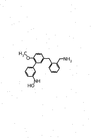 COc1ccc(Cc2ccccc2CN)cc1-c1cccc(NO)c1